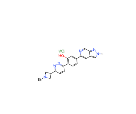 CCN1CC(c2ccc(-c3ccc(-c4cc5cn(C)nc5cn4)cc3O)nn2)C1.Cl